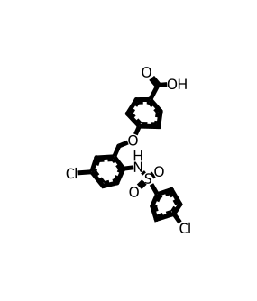 O=C(O)c1ccc(OCc2cc(Cl)ccc2NS(=O)(=O)c2ccc(Cl)cc2)cc1